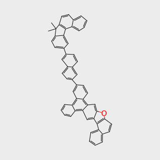 CC1(C)c2ccc(-c3ccc4cc(-c5ccc6c(c5)c5ccccc5c5cc7c(cc65)oc5ccc6ccccc6c57)ccc4c3)cc2-c2c1ccc1ccccc21